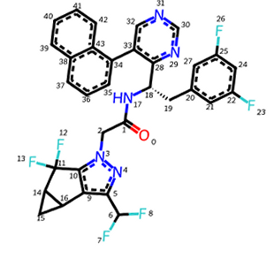 O=C(Cn1nc(C(F)F)c2c1C(F)(F)C1CC21)N[C@@H](Cc1cc(F)cc(F)c1)c1ncncc1-c1cccc2ccccc12